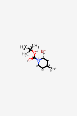 CC(C)(C)OC(=O)N1CC[CH]([Zn+])CC1.[Br-]